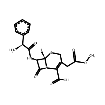 COC(=O)CC1=C(C(=O)O)N2C(=O)[C@@H](NC(=O)[C@@H](N)c3ccccc3)[C@@H]2SC1